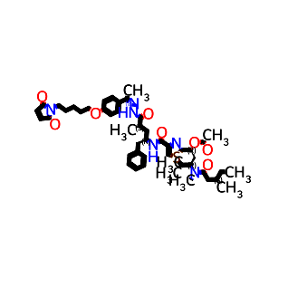 CC[C@H](C)CC(=O)N(C)[C@H](C[C@@H](OC(C)=O)c1nc(C(=O)N[C@@H](Cc2ccccc2)C[C@H](C)C(=O)N/N=C(/C)c2ccc(OCCCCCN3C(=O)C=CC3=O)cc2)cs1)C(C)C